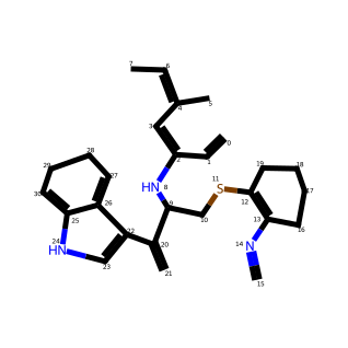 C=C/C(=C\C(C)=C/C)NC(CSC1=C(N=C)CCCC1)C(=C)c1c[nH]c2c1=CCCC=2